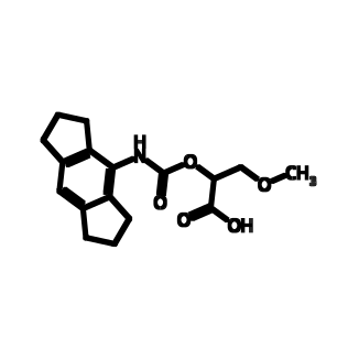 COCC(OC(=O)Nc1c2c(cc3c1CCC3)CCC2)C(=O)O